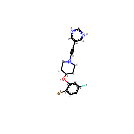 Fc1ccc(Br)c(OC2CCN(C#Cc3cncnc3)CC2)c1